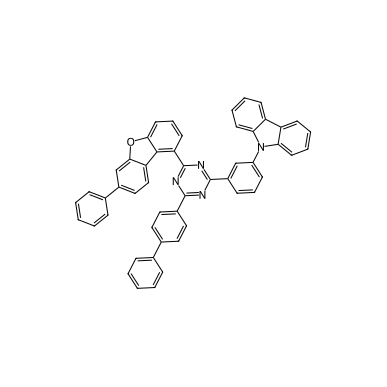 c1ccc(-c2ccc(-c3nc(-c4cccc(-n5c6ccccc6c6ccccc65)c4)nc(-c4cccc5oc6cc(-c7ccccc7)ccc6c45)n3)cc2)cc1